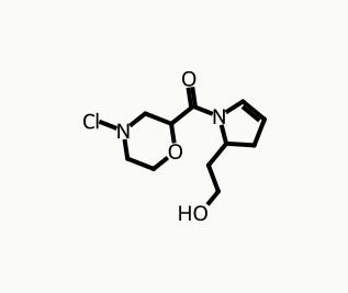 O=C(C1CN(Cl)CCO1)N1C=CCC1CCO